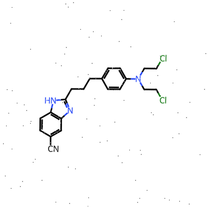 N#Cc1ccc2[nH]c(CCCc3ccc(N(CCCl)CCCl)cc3)nc2c1